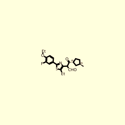 CCOc1ccc(-c2nc(C(C=O)C(=O)[C@@H]3CC[C@@H](C)C3)c(CC)s2)cc1F